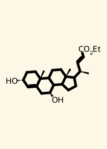 CCOC(=O)/C=C/[C@@H](C)C1CCC2C3C(CC[C@@]21C)[C@@]1(C)CC[C@@H](O)C=C1C[C@@H]3O